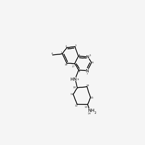 Cc1ccc2ncnc(NC3CCC(N)CC3)c2c1